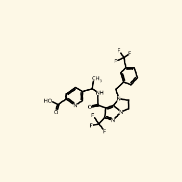 CC(NC(=O)c1c(C(F)(F)F)nn2c1N(Cc1cccc(C(F)(F)F)c1)CC2)c1ccc(C(=O)O)nc1